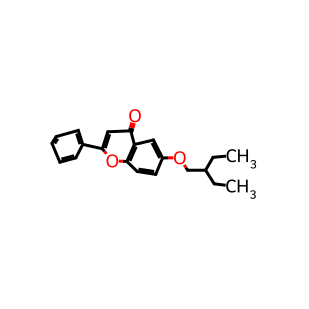 CCC(CC)COc1ccc2oc(-c3ccccc3)cc(=O)c2c1